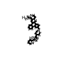 NNc1nccc2nc(-c3ccc(CN4CCC(c5nnc(-c6ccccn6)[nH]5)CC4)cc3)c(-c3ccccc3)cc12